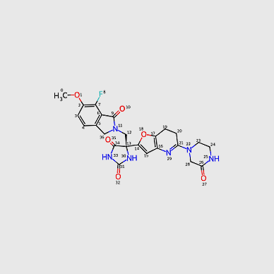 COc1ccc2c(c1F)C(=O)N(C[C@@]1(c3cc4c(o3)CCC(N3CCNC(=O)C3)=N4)NC(=O)NC1=O)C2